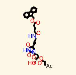 CC(=O)CCC(=O)OC1C[C@H](n2cc(C#CCNC(=O)CCCC(=O)OCC3c4ccccc4-c4ccccc43)c(=O)[nH]c2=O)O[C@@H]1CO